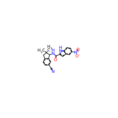 CC1(C)Cc2ccc(C#N)cc2C1NC(=O)c1cc2cc([N+](=O)[O-])ccc2[nH]1